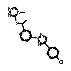 CC(Sc1nncn1C)c1cccc(-n2ncc(-c3ccc(Cl)cc3)n2)c1